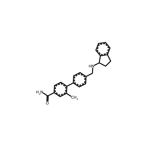 Cc1cc(C(N)=O)ccc1-c1ccc(CNC2CCc3ccccc32)cc1